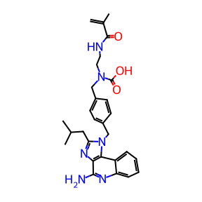 C=C(C)C(=O)NCCN(Cc1ccc(Cn2c(CC(C)C)nc3c(N)nc4ccccc4c32)cc1)C(=O)O